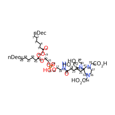 CCCCCCCCCCCCCCCC(=O)OC[C@H](COP(=O)(O)OCCNC(=O)CCCCC1(N(CC(=O)O)CC(=O)O)CN(CC(=O)O)CCN(CC(=O)O)C1)OC(=O)CCCCCCCCCCCCCCC